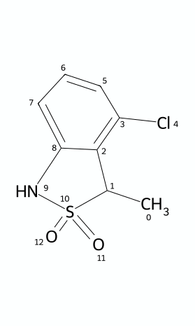 CC1c2c(Cl)cccc2NS1(=O)=O